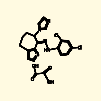 Clc1ccc(NN=C2c3sccc3CCCC2n2ccnc2)c(Cl)c1.O=C(O)C(=O)O